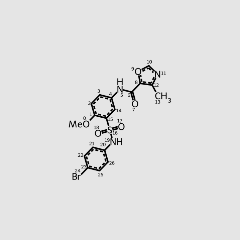 COc1ccc(NC(=O)c2ocnc2C)cc1S(=O)(=O)Nc1ccc(Br)cc1